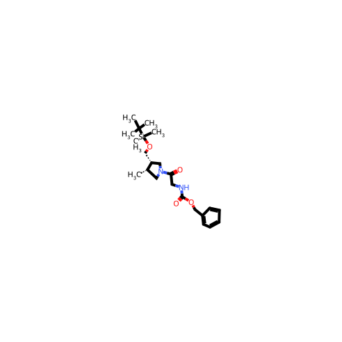 C[C@H]1CN(C(=O)CNC(=O)OCc2ccccc2)C[C@H]1CO[Si](C)(C)C(C)(C)C